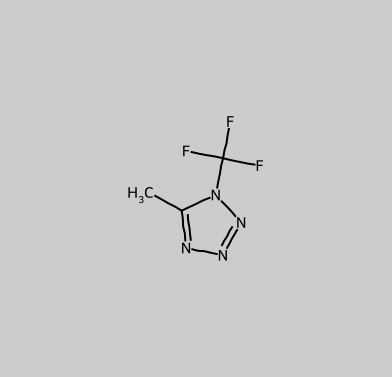 Cc1nnnn1C(F)(F)F